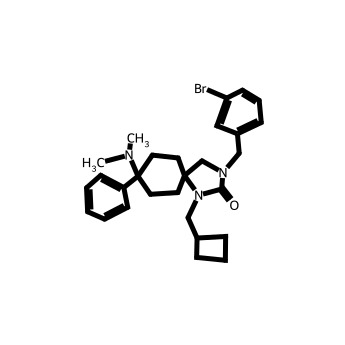 CN(C)C1(c2ccccc2)CCC2(CC1)CN(Cc1cccc(Br)c1)C(=O)N2CC1CCC1